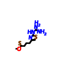 COC(=S)CCCc1csc(NC(N)N)n1